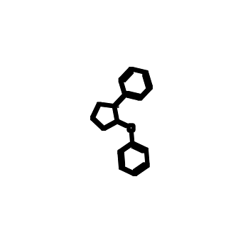 c1ccc(OC2CCC[C]2c2ccccc2)cc1